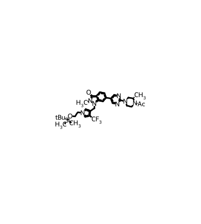 CC(=O)N1CCN(c2ncc(-c3ccc4c(=O)n(C)n(Cc5cn(CCO[Si](C)(C)C(C)(C)C)cc5C(F)(F)F)c4c3)cn2)C[C@H]1C